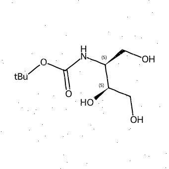 CC(C)(C)OC(=O)N[C@@H](CO)[C@H](O)CO